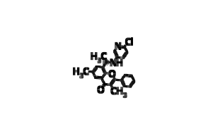 Cc1cc([C@@H](C)Nc2ccc(Cl)nc2)c2oc(-c3ccccc3)c(C)c(=O)c2c1